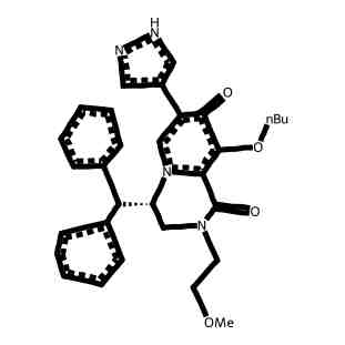 CCCCOc1c2n(cc(-c3cn[nH]c3)c1=O)[C@@H](C(c1ccccc1)c1ccccc1)CN(CCOC)C2=O